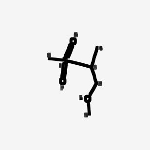 COCC(C)S(C)(=O)=O